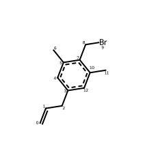 C=CCc1cc(C)c(CBr)c(C)c1